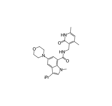 Cc1cc(C)c(CNC(=O)c2cc(N3CCOCC3)cc3c(C(C)C)cn(C)c23)c(=O)[nH]1